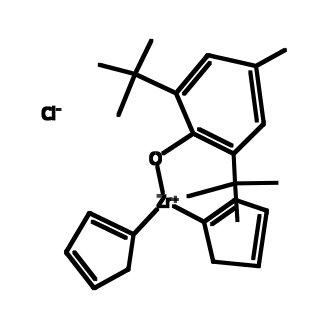 Cc1cc(C(C)(C)C)c([O][Zr+]([C]2=CC=CC2)[C]2=CC=CC2)c(C(C)(C)C)c1.[Cl-]